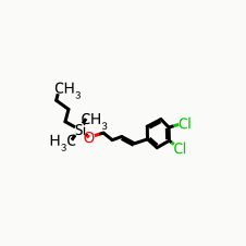 CCCC[Si](C)(C)OCCC=Cc1ccc(Cl)c(Cl)c1